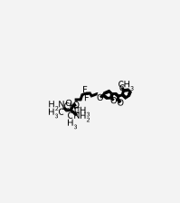 CCc1ccccc1-c1cc2ccc(OCCCC(F)(F)CCCOC(=O)C(CC(C)(C)N)C(C)(C)N)cc2oc1=O